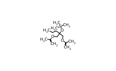 C=C(C)OCC(CCC)(COC(=C)C)O[Si](C)(C)C